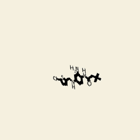 CC(C)(C)CC(=O)Nc1ccc(NCc2ccc(Cl)s2)cc1N